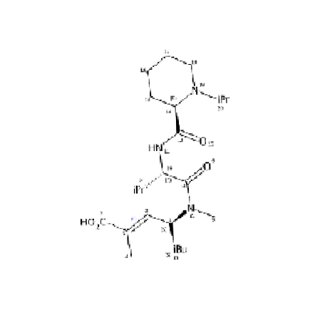 CC[C@H](C)[C@@H](/C=C(\C)C(=O)O)N(C)C(=O)[C@@H](NC(=O)[C@H]1CCCCN1C(C)C)C(C)C